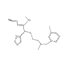 CN/C(=C\C=N)C(OCCN(C)Cc1cccc(C)c1)c1cccs1